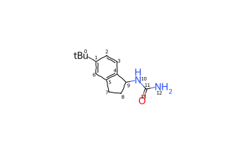 CC(C)(C)c1ccc2c(c1)CCC2NC(N)=O